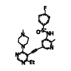 CCc1ncnc(N2CCN(C)CC2)c1C#Cc1cnc(C)c(N[S+]([O-])c2ccc(F)cc2)c1